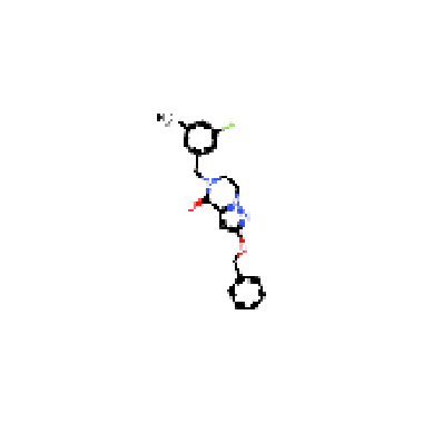 Cc1cc(F)cc(CN2CCn3nc(OCc4ccccc4)cc3C2=O)c1